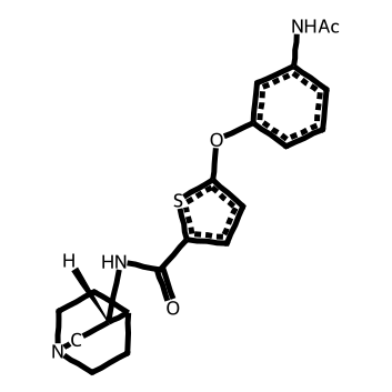 CC(=O)Nc1cccc(Oc2ccc(C(=O)N[C@H]3CN4CCC3CC4)s2)c1